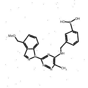 COCc1cccc2c1cnn2-c1nnc(C)c(NCc2cccc(B(O)O)c2)n1